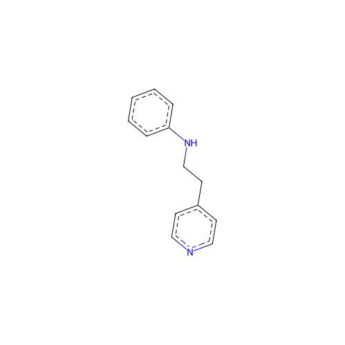 c1ccc(NCCc2ccncc2)cc1